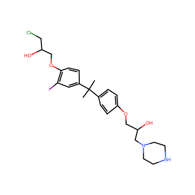 CC(C)(c1ccc(OCC(O)CN2CCNCC2)cc1)c1ccc(OCC(O)CCl)c(I)c1